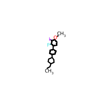 CCCC1CCC(c2ccc(-c3ccc(OCC)c(I)c3F)cc2)CC1